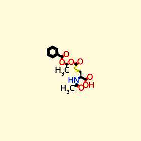 CC(=O)N[C@@H](CSC(=O)O[C@H](C)OC(=O)c1ccccc1)C(=O)O